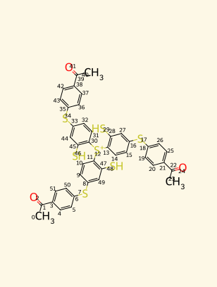 CC(=O)c1ccc(Sc2ccc([S+](c3ccc(Sc4ccc(C(C)=O)cc4)cc3S)c3ccc(Sc4ccc(C(C)=O)cc4)cc3S)c(S)c2)cc1